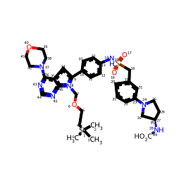 C[Si](C)(C)CCOCn1c(-c2ccc(NS(=O)(=O)Cc3cccc(N4CC[C@@H](NC(=O)O)C4)c3)cc2)cc2c(N3CCOCC3)ncnc21